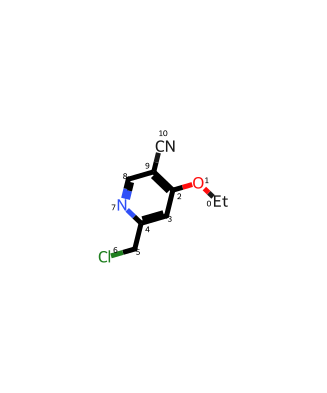 CCOc1cc(CCl)ncc1C#N